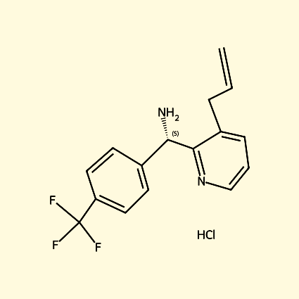 C=CCc1cccnc1[C@@H](N)c1ccc(C(F)(F)F)cc1.Cl